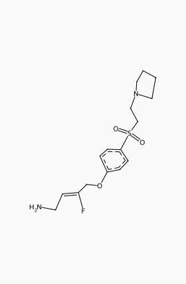 NCC=C(F)COc1ccc(S(=O)(=O)CCN2CCCC2)cc1